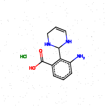 Cl.Nc1cccc(C(=O)O)c1C1NC=CCN1